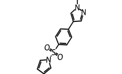 Cn1cc(-c2ccc(S(=O)(=O)n3cccc3)cc2)cn1